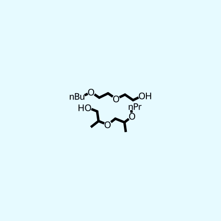 CCCCOCCOCCO.CCCOC(C)COC(C)CO